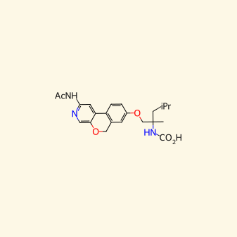 CC(=O)Nc1cc2c(cn1)OCc1cc(OCC(C)(CC(C)C)NC(=O)O)ccc1-2